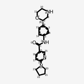 O=C(Nc1ccc([C@@H]2CNCCO2)cc1)c1ccc(N2CCCC2)nc1